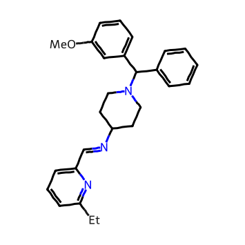 CCc1cccc(C=NC2CCN(C(c3ccccc3)c3cccc(OC)c3)CC2)n1